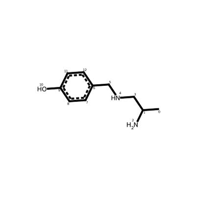 CC(N)CNCc1ccc(O)cc1